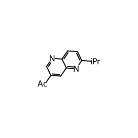 CC(=O)c1cnc2ccc(C(C)C)nc2c1